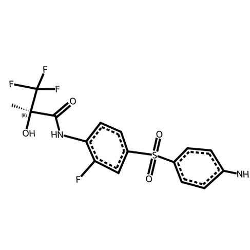 C[C@@](O)(C(=O)Nc1ccc(S(=O)(=O)c2ccc(N)cc2)cc1F)C(F)(F)F